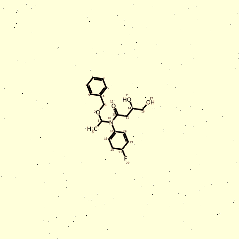 CC(OCc1ccccc1)N(C(=O)C[C@@H](O)CO)C1=CCC(F)C=C1